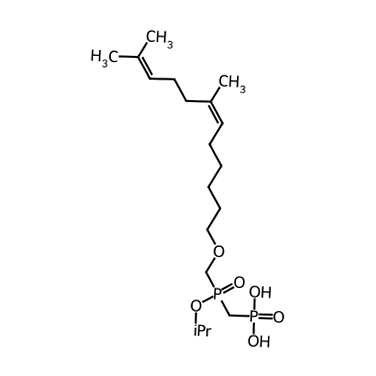 CC(C)=CCCC(C)=CCCCCCOCP(=O)(CP(=O)(O)O)OC(C)C